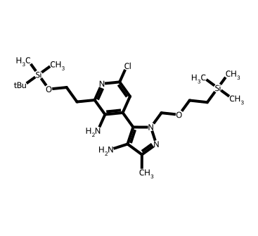 Cc1nn(COCC[Si](C)(C)C)c(-c2cc(Cl)nc(CCO[Si](C)(C)C(C)(C)C)c2N)c1N